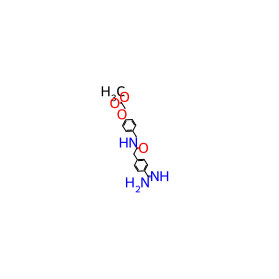 COC(=O)COc1ccc(CNC(=O)Cc2ccc(C(=N)N)cc2)cc1